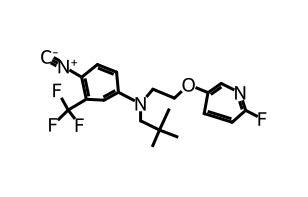 [C-]#[N+]c1ccc(N(CCOc2ccc(F)nc2)CC(C)(C)C)cc1C(F)(F)F